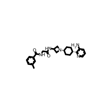 Cc1cccc(C(=O)NCC(=O)NC2CN([C@H]3CC[C@@H](c4ncccc4N)CC3)C2)c1